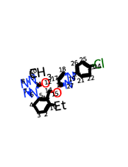 CCC1=CCCC(n2nnn(C)c2=O)=C1COc1ccn(-c2ccc(Cl)cc2)n1